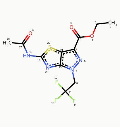 CCOC(=O)c1nn(CC(F)(F)F)c2nc(NC(C)=O)sc12